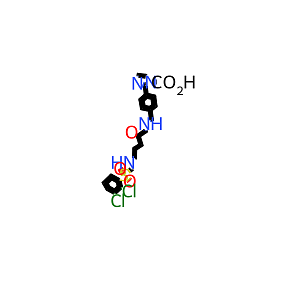 O=C(CCCNCS(=O)(=O)c1cccc(Cl)c1Cl)CNCc1ccc(C2=NCCN2C(=O)O)cc1